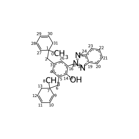 CC1(Cc2cc(CC3(C)C=CC=CC3)c(O)c(-n3nc4ccccc4n3)c2)C=CC=CC1